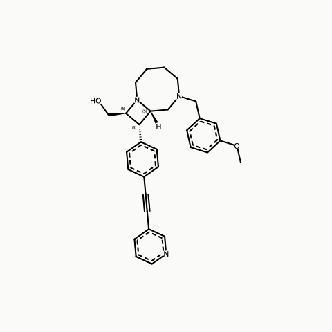 COc1cccc(CN2CCCCN3[C@H](CO)[C@@H](c4ccc(C#Cc5cccnc5)cc4)[C@H]3C2)c1